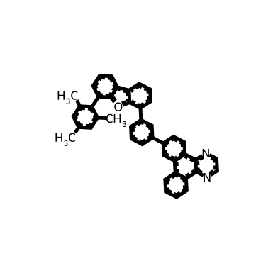 Cc1cc(C)c(-c2cccc3c2oc2c(-c4cccc(-c5ccc6c(c5)c5ccccc5c5nccnc65)c4)cccc23)c(C)c1